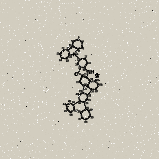 Clc1cc(-n2c3ccccc3c3ccccc32)ccc1Nc1ccc2c3c(ccc(Br)c13)-c1cc(-c3ccccc3)c(-c3ccccc3)cc1-2